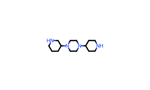 C1CNCC(N2CCN(C3CCNCC3)CC2)C1